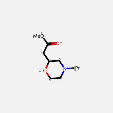 COC(=O)CC1CN(C(C)C)CCO1